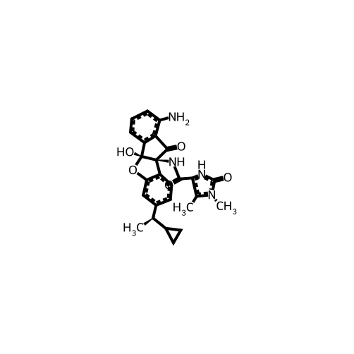 Cc1c(C(=O)N[C@]23C(=O)c4c(N)cccc4[C@@]2(O)Oc2cc([C@H](C)C4CC4)ccc23)[nH]c(=O)n1C